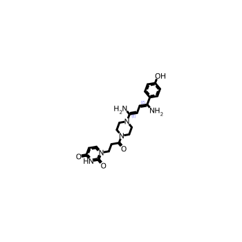 N/C(=C\C=C(/N)N1CCN(C(=O)CCn2ccc(=O)[nH]c2=O)CC1)c1ccc(O)cc1